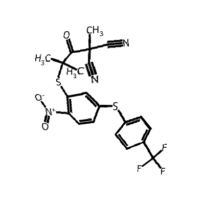 CC(C#N)(C#N)C(=O)C(C)(C)Sc1cc(Sc2ccc(C(F)(F)F)cc2)ccc1[N+](=O)[O-]